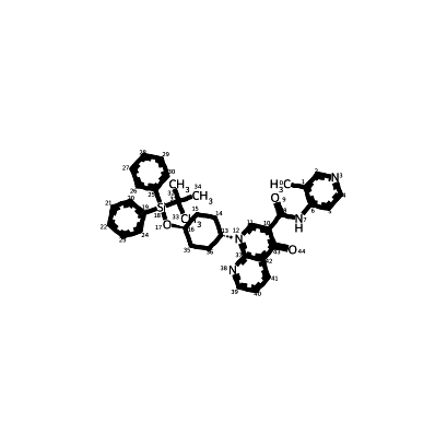 Cc1cnccc1NC(=O)c1cn([C@H]2CC[C@H](O[Si](c3ccccc3)(c3ccccc3)C(C)(C)C)CC2)c2ncccc2c1=O